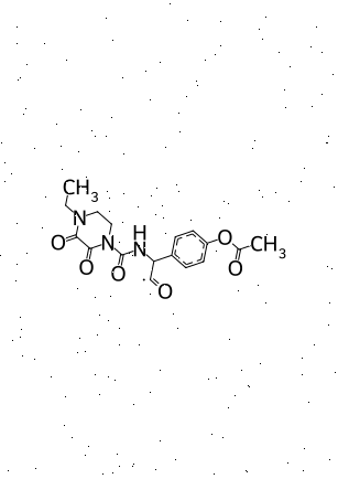 CCN1CCN(C(=O)NC([C]=O)c2ccc(OC(C)=O)cc2)C(=O)C1=O